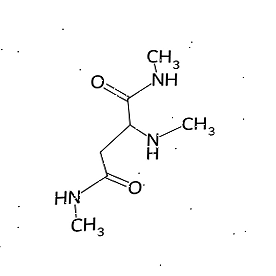 CNC(=O)CC(NC)C(=O)NC